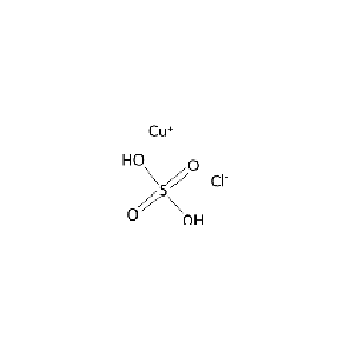 O=S(=O)(O)O.[Cl-].[Cu+]